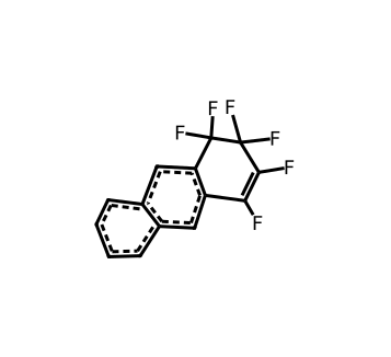 FC1=C(F)C(F)(F)C(F)(F)c2cc3ccccc3cc21